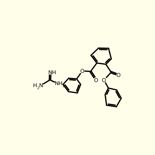 N=C(N)N.O=C(Oc1ccccc1)c1ccccc1C(=O)Oc1ccccc1